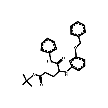 CC(C)(C)OC(=O)CCC(Nc1cccc(OCc2ccccc2)c1)C(=O)Nc1ccccc1